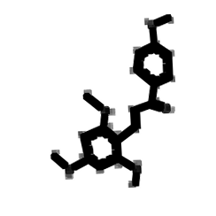 COc1ccc(C(=O)C=Cc2c(OC)cc(OC)cc2OC)cc1